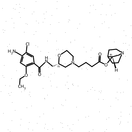 CCOc1cc(N)c(Cl)cc1C(=O)NC[C@H]1CN(CCCC(=O)O[C@H]2CN3CCC2CC3)CCO1